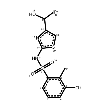 Cc1c(Cl)cccc1S(=O)(=O)Nc1nc(C(O)C(C)C)cs1